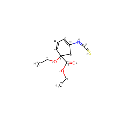 CCOC(=O)C1(OCC)C=CC=C(N=C=S)C1